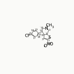 CN1CC2SC([N+](=O)[O-])=CC2C(c2ccc(Cl)cc2)C1